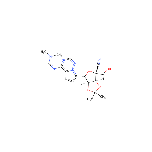 CN(C)/C=N\c1ncnn2c([C@@H]3O[C@](C#N)(CO)[C@H]4OC(C)(C)O[C@@H]34)ccc12